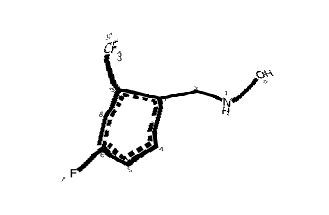 ONCc1ccc(F)cc1C(F)(F)F